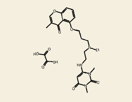 CCN(CCCOc1cccc2occ(C)c(=O)c12)CCNc1cc(=O)n(C)c(=O)n1C.O=C(O)C(=O)O